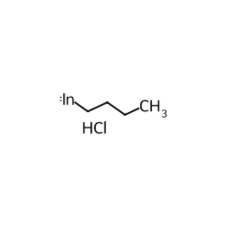 CCC[CH2][In].Cl